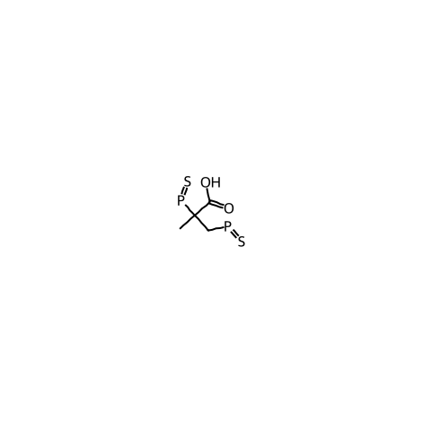 CC(CP=S)(P=S)C(=O)O